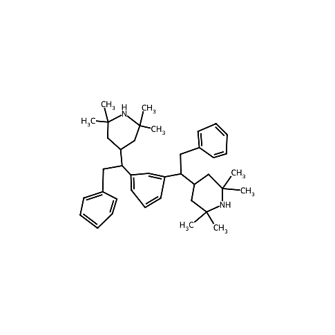 CC1(C)CC(C(Cc2ccccc2)c2cccc(C(Cc3ccccc3)C3CC(C)(C)NC(C)(C)C3)c2)CC(C)(C)N1